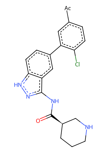 CC(=O)c1ccc(Cl)c(-c2ccc3[nH]nc(NC(=O)[C@@H]4CCCNC4)c3c2)c1